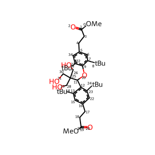 COC(=O)CCc1cc(C(C)(C)C)c(OC(c2c(C(C)(C)C)cc(CCC(=O)OC)cc2C(C)(C)C)C(CO)(CO)CO)c(C(C)(C)C)c1